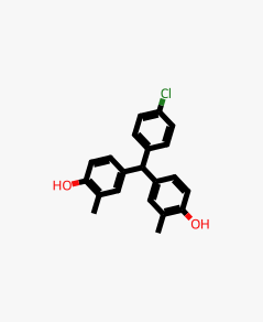 Cc1cc(C(c2ccc(Cl)cc2)c2ccc(O)c(C)c2)ccc1O